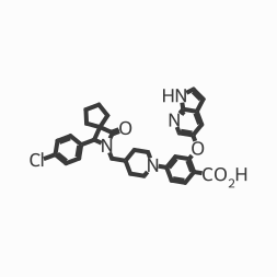 O=C(O)c1ccc(N2CCC(CN3C(=O)C4(CCCC4)C3c3ccc(Cl)cc3)CC2)cc1Oc1cnc2[nH]ccc2c1